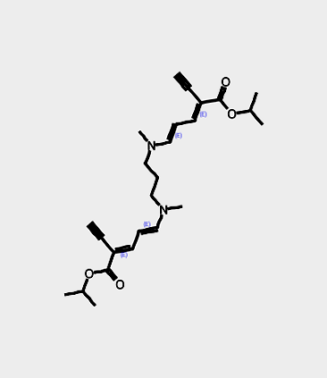 C#C/C(=C\C=C\N(C)CCCN(C)/C=C/C=C(\C#C)C(=O)OC(C)C)C(=O)OC(C)C